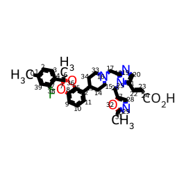 Cc1ccc(C2(C)Oc3cccc(C4CCN(Cc5ncc(/C=C/C(=O)O)n5Cc5cnc(C)o5)CC4)c3O2)c(F)c1